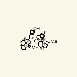 COC(=O)[C@@H]1CCCC2SCC[C@H](NC(=O)[C@H](CC[C@H](Cc3cccc(Cl)c3)C(=O)N[C@H]3CCS[C@H]4CCC[C@@H](C(=O)OC)N4C3=O)Cc3ccc(O)cc3)C(=O)N21